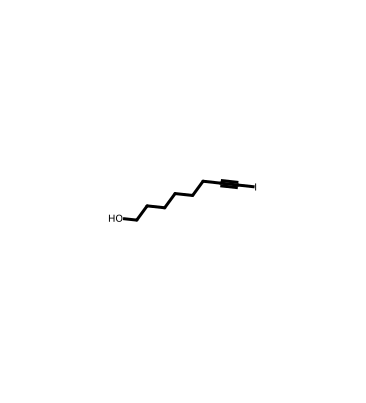 OCCCCCCC#CI